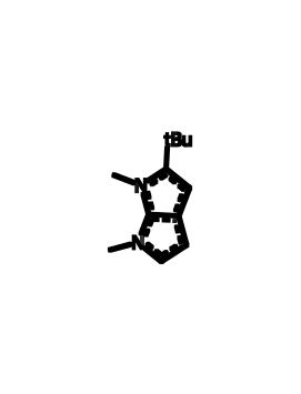 Cn1ccc2cc(C(C)(C)C)n(C)c21